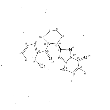 Cc1[nH]c2cc([C@@H]3CCCCN3C(=O)c3ccccc3N)nn2c(=O)c1C